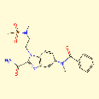 CN(C(=O)c1ccccc1)c1ccc2c(c1)nc(C(N)=O)n2CCN(C)S(C)(=O)=O